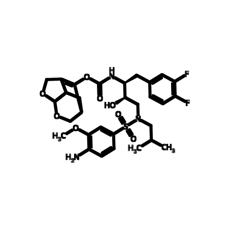 COc1cc(S(=O)(=O)N(CC(C)C)C[C@@H](O)[C@H](Cc2ccc(F)c(F)c2)NC(=O)OC2=C3COC4OCC2CC34)ccc1N